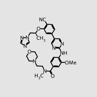 COc1cc(C(=O)N(C)CCN2CCOCC2)ccc1Nc1ncc(-c2ccc(C#N)c(O[C@@H](C)Cn3cncn3)c2)cn1